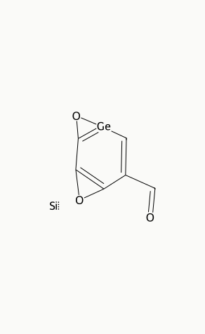 O=CC1=[CH][Ge]2=[C]([O]2)C2=C1O2.[Si]